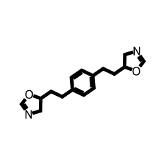 C1=NCC(CCc2ccc(CCC3CN=CO3)cc2)O1